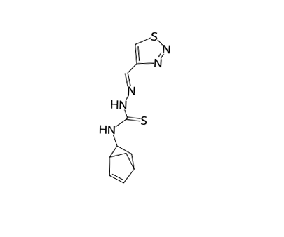 S=C(NN=Cc1csnn1)NC1CC2C=CC1C2